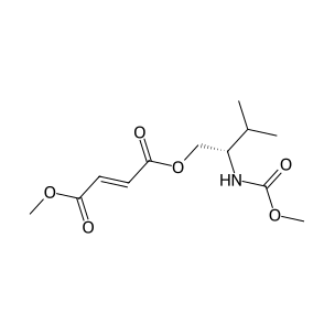 COC(=O)/C=C/C(=O)OC[C@@H](NC(=O)OC)C(C)C